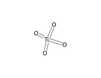 [O]=[Ti](=[O])(=[O])=[O]